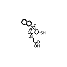 CN(CCC(=O)O)C(=O)[C@@H]1C[C@@H](S)CN1S(=O)(=O)c1ccc2ccccc2c1